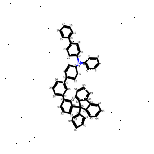 C1=CC(N(c2ccccc2)c2ccc(-c3ccccc3)cc2)CC=C1c1cccc(-c2cccc(C3(c4ccccc4)c4ccccc4-c4ccccc43)c2)c1